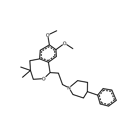 COc1cc2c(cc1OC)C(CCN1CCC(c3ccccc3)CC1)OCC(C)(C)C2